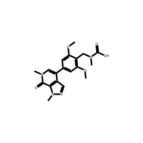 COc1cc(-c2cn(C)c(=O)c3c2cnn3C)cc(OC)c1CN(C)C(=O)O